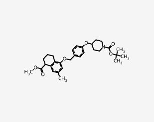 COC(=O)C1CCCc2c(OCc3ccc(OC4CCN(C(=O)OC(C)(C)C)CC4)cc3)cc(C)cc21